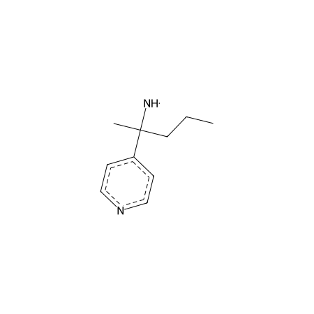 CCCC(C)([NH])c1ccncc1